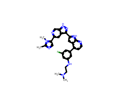 Cc1ncc(-c2cc3c(-c4cc5c(-c6cc(F)cc(NCCN(C)C)c6)ccnc5[nH]4)n[nH]c3cn2)n1C